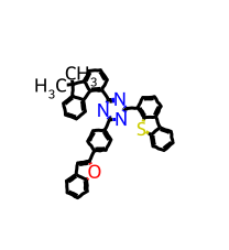 CC1(C)c2ccccc2-c2c(-c3nc(-c4ccc(-c5cc6ccccc6o5)cc4)nc(-c4cccc5c4sc4ccccc45)n3)cccc21